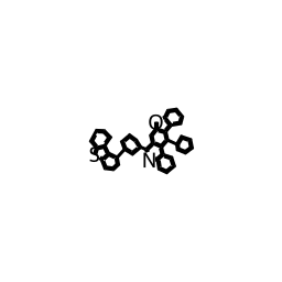 c1ccc(-c2c3c(cc4c(-c5cccc(-c6cccc7sc8ccccc8c67)c5)nc5ccccc5c24)oc2ccccc23)cc1